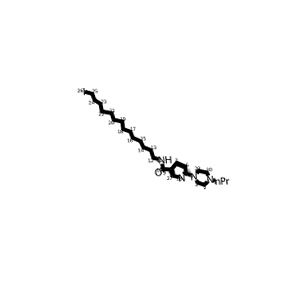 CCCN1CCN(c2ccc(C(=O)NCCCCCCCCCCCCCCI)cn2)CC1